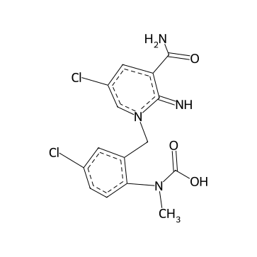 CN(C(=O)O)c1ccc(Cl)cc1Cn1cc(Cl)cc(C(N)=O)c1=N